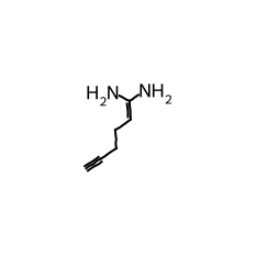 C#CCCC=C(N)N